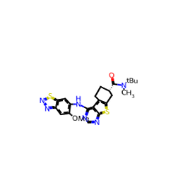 COc1cc2nnsc2cc1Nc1ncnc2sc3c(c12)CC[C@H](C(=O)N(C)C(C)(C)C)C3